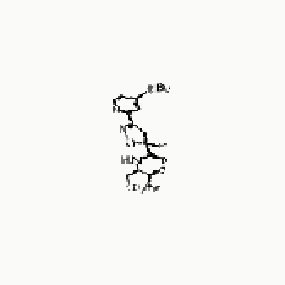 CCC1(C(=O)NC(CC(=O)O)C(=O)CF)CC(c2cc(C(C)(C)C)ccn2)=NO1